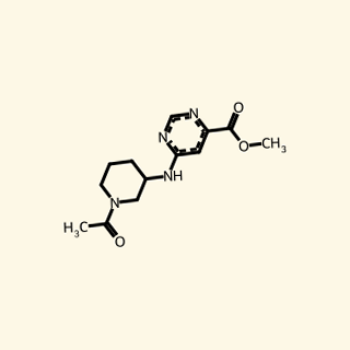 COC(=O)c1cc(NC2CCCN(C(C)=O)C2)ncn1